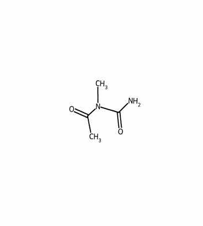 CC(=O)N(C)C(N)=O